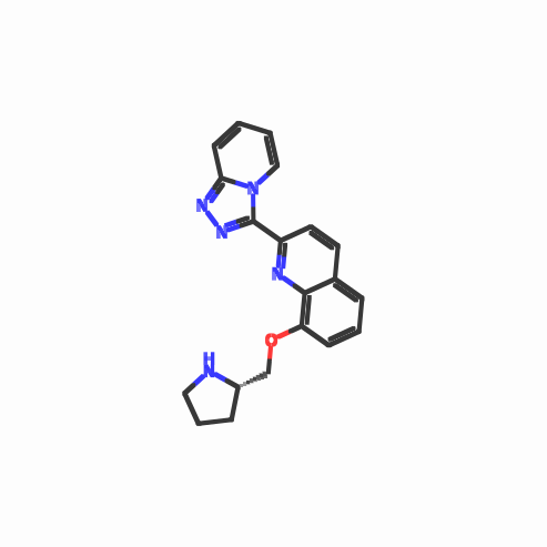 c1cc(OC[C@@H]2CCCN2)c2nc(-c3nnc4ccccn34)ccc2c1